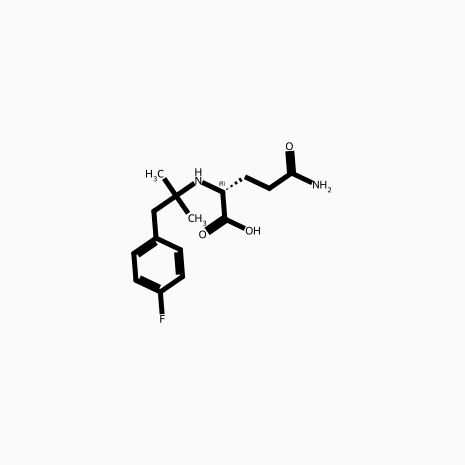 CC(C)(Cc1ccc(F)cc1)N[C@H](CCC(N)=O)C(=O)O